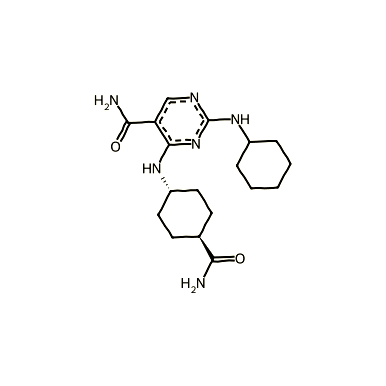 NC(=O)c1cnc(NC2CCCCC2)nc1N[C@H]1CC[C@H](C(N)=O)CC1